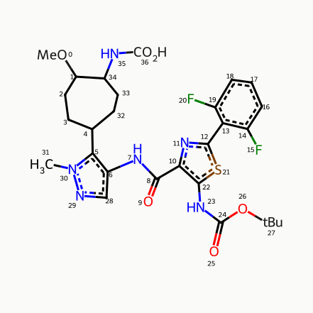 COC1CCC(c2c(NC(=O)c3nc(-c4c(F)cccc4F)sc3NC(=O)OC(C)(C)C)cnn2C)CCC1NC(=O)O